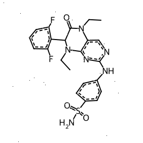 CCN1C(=O)C(c2c(F)cccc2F)N(CC)c2nc(Nc3ccc(S(N)(=O)=O)cc3)ncc21